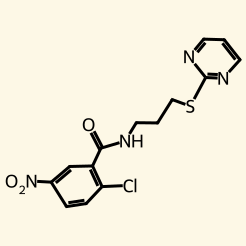 O=C(NCCCSc1ncccn1)c1cc([N+](=O)[O-])ccc1Cl